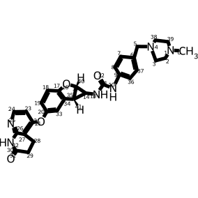 CN1CCN(Cc2ccc(NC(=O)NC3[C@H]4Oc5ccc(Oc6ccnc7c6CCC(=O)N7)cc5[C@@H]34)cc2)CC1